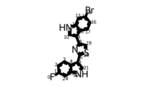 Fc1ccc2c(-c3nc(-c4c[nH]c5cc(Br)ccc45)cs3)c[nH]c2c1